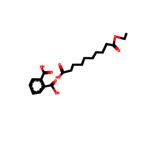 CCOC(=O)CCCCCCCCC(=O)O.O=C(O)c1ccccc1C(=O)O